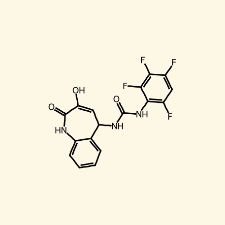 O=C(Nc1c(F)cc(F)c(F)c1F)NC1C=C(O)C(=O)Nc2ccccc21